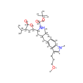 COCCCc1cn(C)c2ccc(CC(CC(NC(=O)OC(C)(C)C)C3CC(C(C)C)C(=O)O3)C(C)C)cc12